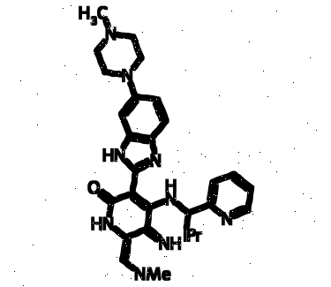 CN/C=C1/NC(=O)C(c2nc3ccc(N4CCN(C)CC4)cc3[nH]2)=C(NC(c2ccccn2)C(C)C)C1=N